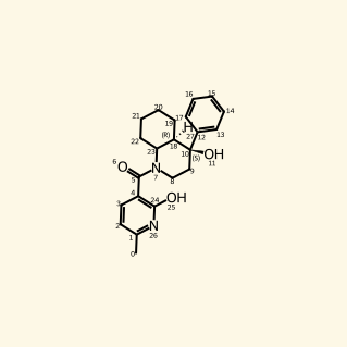 Cc1ccc(C(=O)N2CC[C@@](O)(c3ccccc3)[C@@H]3CCCCC32)c(O)n1